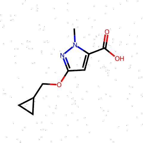 Cn1nc(OCC2CC2)cc1C(=O)O